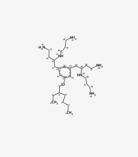 CCCCC(CC)COc1cc(CC(CCN)NCCCN)cc(CC(CCN)NCCCN)c1